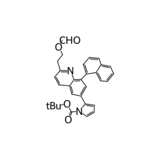 CC(C)(C)OC(=O)n1cccc1-c1cc(-c2cccc3ccccc23)c2nc(CCOC=O)ccc2c1